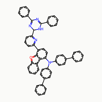 c1ccc(C2=NC(c3cccc(-c4ccc(N(c5ccc(-c6ccccc6)cc5)c5ccc(-c6ccccc6)cc5)c5c4oc4ccccc45)n3)NC(c3ccccc3)=N2)cc1